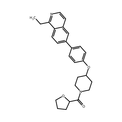 CCc1nccc2cc(-c3ccc(OC4CCN(C(=O)C5CCCO5)CC4)cc3)ccc12